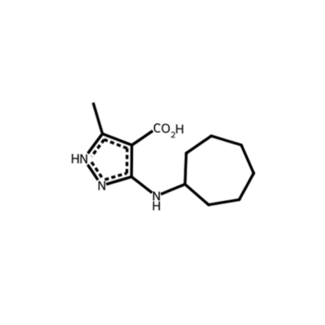 Cc1[nH]nc(NC2CCCCCC2)c1C(=O)O